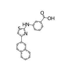 O=C(O)c1cccc(Nc2nc(-c3ccc4ccccc4c3)cs2)c1